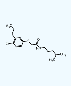 CCCc1cc(SCC(=O)NCCCC(C)C)ccc1Cl